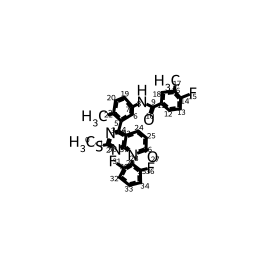 CSc1nc(-c2cc(NC(=O)c3ccc(F)c(C)c3)ccc2C)c2ccc(=O)n(-c3c(F)cccc3F)c2n1